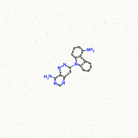 Nc1ncnc2cc(-n3c4ccccc4c4c(N)cccc43)nnc12